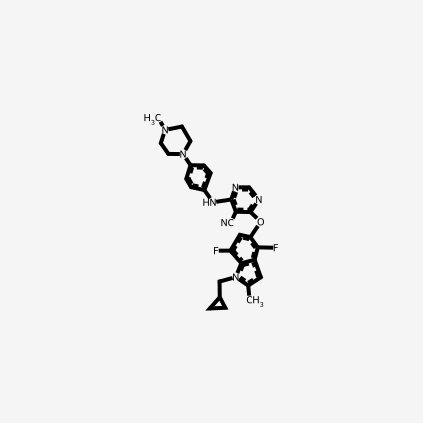 Cc1cc2c(F)c(Oc3ncnc(Nc4ccc(N5CCN(C)CC5)cc4)c3C#N)cc(F)c2n1CC1CC1